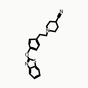 N#CC1CCN(CCc2ccc(Oc3nc4ccccc4s3)cc2)CC1